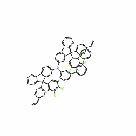 C=Cc1ccc(C2(c3cc(F)c(F)c(F)c3F)c3ccccc3-c3ccc(N(c4cccc(-c5cccc(-c6ccccc6)c5)c4)c4ccc5c(c4)C(c4ccc(C=C)cc4)(c4cc(F)c(F)c(F)c4F)c4ccccc4-5)cc32)cc1